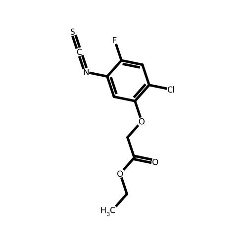 CCOC(=O)COc1cc(N=C=S)c(F)cc1Cl